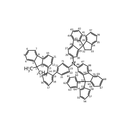 CC1(C)c2ccccc2-c2cccc(-c3ccccc3-c3ccc(N(c4ccc5c(c4)C4(CCc6ccccc64)c4ccccc4-5)c4ccc5c(c4)C(c4ccccc4)(c4ccccc4)c4ccccc4-5)cc3)c21